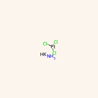 N.[Cl][Pt]([Cl])[Cl].[KH]